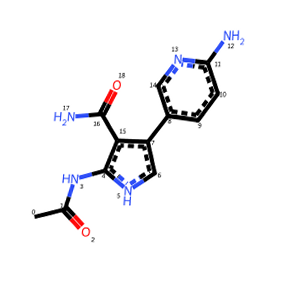 CC(=O)Nc1[nH]cc(-c2ccc(N)nc2)c1C(N)=O